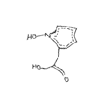 O=C(O)c1cccn1O